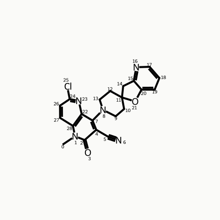 Cn1c(=O)c(C#N)c(N2CCC3(CC2)Cc2ncccc2O3)c2nc(Cl)ccc21